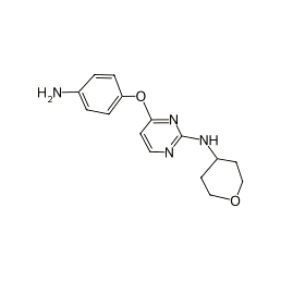 Nc1ccc(Oc2ccnc(NC3CCOCC3)n2)cc1